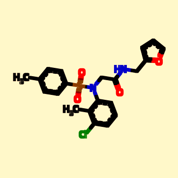 Cc1ccc(S(=O)(=O)N(CC(=O)NCc2ccco2)c2cccc(Cl)c2C)cc1